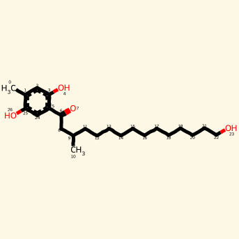 Cc1cc(O)c(C(=O)CC(C)CCCCCCCCCCCCO)cc1O